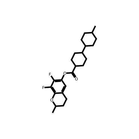 CC1CCC(C2CCC(C(=O)Oc3cc4c(c(F)c3F)OC(C)CC4)CC2)CC1